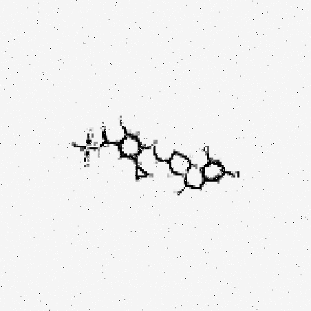 C[C@H](Cc1cc(Cl)cc(Cl)c1)N1CCCC(COc2cc(F)c(C(=O)NS(C)(=O)=O)cc2C2CC2)C1